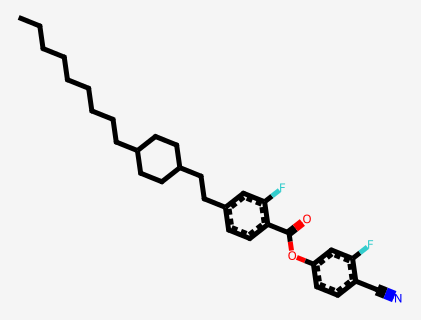 CCCCCCCCCC1CCC(CCc2ccc(C(=O)Oc3ccc(C#N)c(F)c3)c(F)c2)CC1